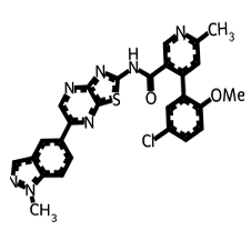 COc1ccc(Cl)cc1-c1cc(C)ncc1C(=O)Nc1nc2ncc(-c3ccc4c(cnn4C)c3)nc2s1